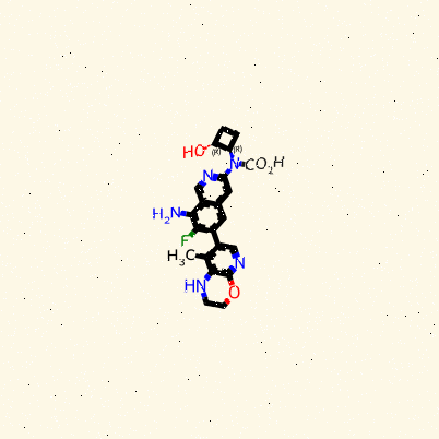 Cc1c(-c2cc3cc(N(C(=O)O)[C@@H]4CC[C@H]4O)ncc3c(N)c2F)cnc2c1NCCO2